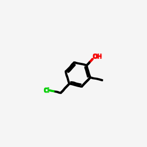 Cc1cc(CCl)ccc1O